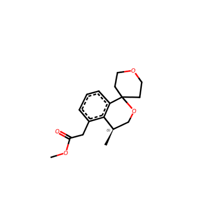 COC(=O)Cc1cccc2c1[C@H](C)COC21CCOCC1